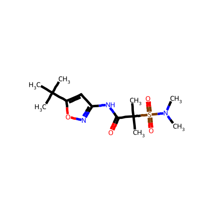 CN(C)S(=O)(=O)C(C)(C)C(=O)Nc1cc(C(C)(C)C)on1